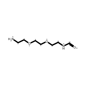 NCCOCCOCCN[C]=O